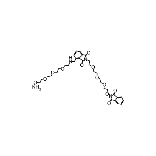 NOCCOCCOCCOCCNCc1cccc2c1C(=O)N(CCOCCOCCOCCON1C(=O)c3ccccc3C1=O)C2=O